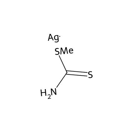 CSC(N)=S.[Ag]